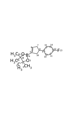 CC1(C)OB(C2=CCC(c3ccc(F)cc3)C2)OC1(C)C